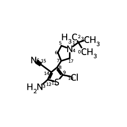 CC(C)(C)N1CCC(c2c(Cl)sc(N)c2C#N)C1